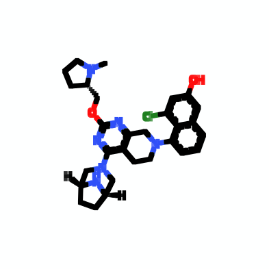 CN1CCC[C@H]1COc1nc2c(c(N3C[C@H]4CC[C@@H](C3)N4)n1)CCN(c1cccc3cc(O)cc(Cl)c13)C2